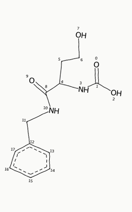 O=C(O)NC(CCO)C(=O)NCc1ccccc1